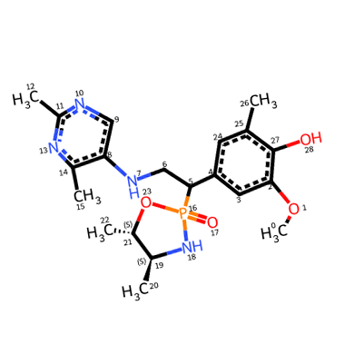 COc1cc(C(CNc2cnc(C)nc2C)P2(=O)N[C@@H](C)[C@H](C)O2)cc(C)c1O